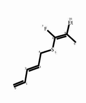 C=C/C=C/CS/C(F)=C(\C)CC